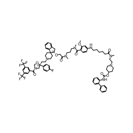 COc1cc(NCCCCCC(=O)N(C)CCN2CCC(OC(=O)Nc3ccccc3-c3ccccc3)CC2)ccc1C(=O)N(C)CCCN(C)C(=O)CO[C@H]1Cc2ccccc2C12CCN(CC[C@@]1(c3ccc(F)cc3)CN(C(=O)c3cc(C(F)(F)F)cc(C(F)(F)F)c3)CO1)CC2